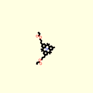 C=CC(=O)OCCCc1cc2c3c(c1)C(C)(C)c1cc(CCCOC(=O)C=C)cc4c1N3c1c(cc(C)cc1C4(C)C)C2(C)C